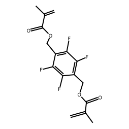 C=C(C)C(=O)OCc1c(F)c(F)c(COC(=O)C(=C)C)c(F)c1F